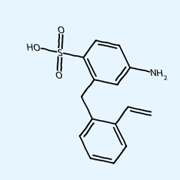 C=Cc1ccccc1Cc1cc(N)ccc1S(=O)(=O)O